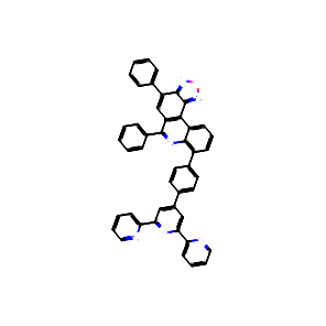 c1ccc(-c2nc3c(-c4ccc(-c5cc(-c6ccccn6)nc(-c6ccccn6)c5)cc4)cccc3c3c2cc(-c2ccccc2)c2nonc23)cc1